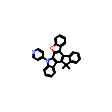 CC1(C)c2ccccc2-c2c1c1c3ccccc3n(-c3ccncc3)c1c1oc3ccccc3c21